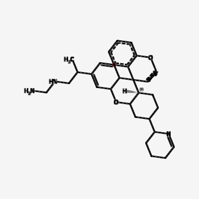 CC(CNCN)C1=CC2OC3CC(C4CCCC=N4)CC[C@@H]3C3(c4ccccc4Oc4ccccc43)C2C=C1